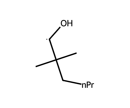 CCCCC(C)(C)[CH]O